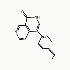 C\C=C/C=C\C(=C/C)c1c[nH]c(=O)c2cnccc12